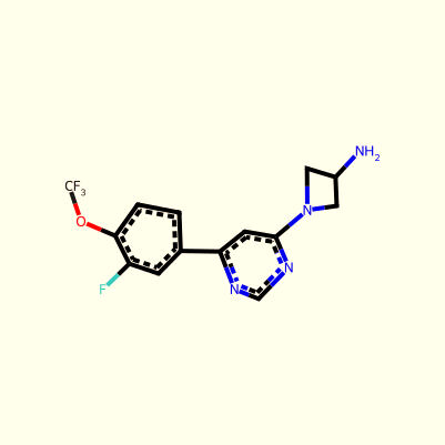 NC1CN(c2cc(-c3ccc(OC(F)(F)F)c(F)c3)ncn2)C1